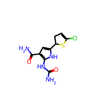 NC(=O)Nc1[nH]c(C2CC=C(Cl)S2)cc1C(N)=O